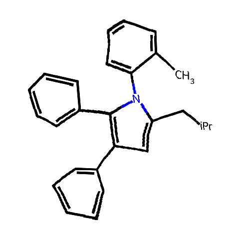 Cc1ccccc1-n1c(CC(C)C)cc(-c2ccccc2)c1-c1ccccc1